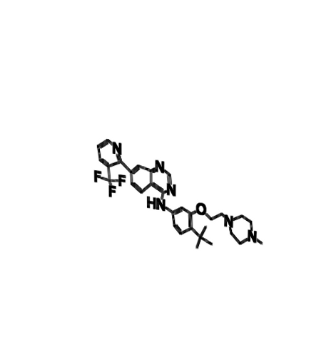 CN1CCN(CCOc2cc(Nc3ncnc4cc(-c5ncccc5C(F)(F)F)ccc34)ccc2C(C)(C)C)CC1